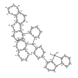 CC1(C)c2ccccc2-c2cccc(-c3ccc(N(c4ccccc4-c4cccc5oc6c7ccccc7ccc6c45)c4cccc5ccccc45)cc3)c21